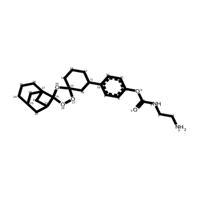 NCCNC(=O)Oc1ccc(C2CCCC3(C2)OOC2(O3)C3CC4CCCC2(C4)C3)cc1